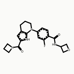 O=C(NC1COC1)c1ccc(N2CCCc3cc(C(=O)N4CCC4)[nH]c32)cc1F